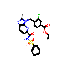 CCOC(=O)c1ccc(Cn2c(C)nc3ccc(C(=O)NS(=O)(=O)c4ccccc4)nc32)c(Cl)c1